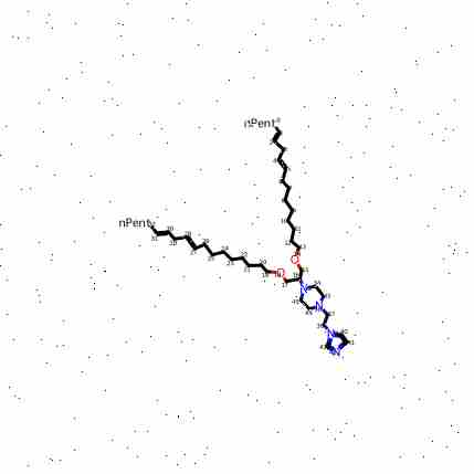 CCCCCC=CCC=CCCCCCCCCOCC(COCCCCCCCCC=CCC=CCCCCC)N1CCN(CCn2ccnc2)CC1